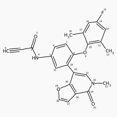 C#CC(=O)Nc1ccc(Oc2c(C)cc(F)cc2C)c(-c2cn(C)c(=O)c3ccoc23)c1